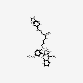 COc1ccc(OCCCCN(C)CCOc2ccc3c(c2)OCO3)c(C2(SC)Sc3ccccc3N(C)C2=O)c1